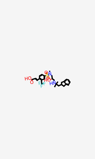 CN(C[C@H](O)CNC(C)(C)CC1Cc2ccccc2C1)S(=O)(=O)c1ccc(C=CC(=O)O)c(C(F)(F)F)c1